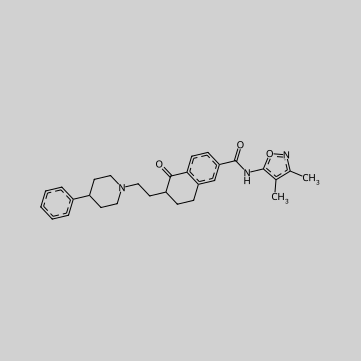 Cc1noc(NC(=O)c2ccc3c(c2)CCC(CCN2CCC(c4ccccc4)CC2)C3=O)c1C